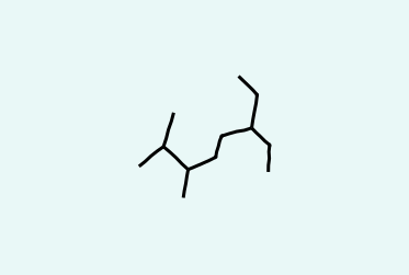 CCC(CC)CCC(C)C(C)C